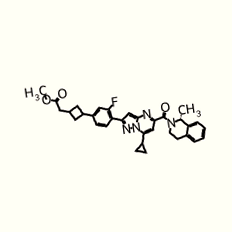 COC(=O)CC1CC(c2ccc(-c3cc4nc(C(=O)N5CCc6ccccc6[C@H]5C)cc(C5CC5)n4n3)c(F)c2)C1